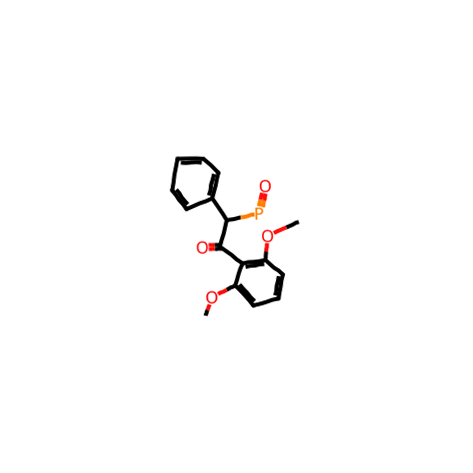 COc1cccc(OC)c1C(=O)C(P=O)c1ccccc1